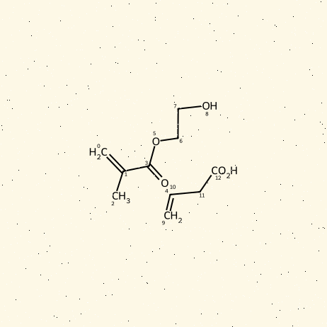 C=C(C)C(=O)OCCO.C=CCC(=O)O